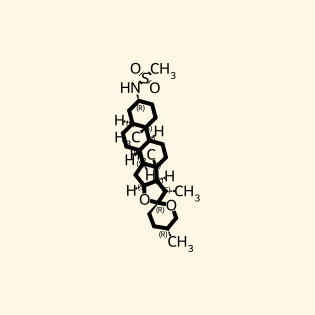 C[C@@H]1CC[C@@]2(OC1)O[C@H]1C[C@H]3[C@@H]4CC[C@H]5C[C@H](NS(C)(=O)=O)CC[C@]5(C)[C@H]4CC[C@]3(C)[C@H]1[C@@H]2C